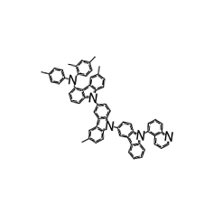 Cc1ccc(N(c2ccc(C)cc2C)c2cccc3c2c2cc(C)ccc2n3-c2ccc3c(c2)c2cc(C)ccc2n3-c2ccc3c(c2)c2ccccc2n3-c2cccc3ncccc23)cc1